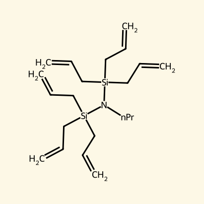 [CH2]CCN([Si](CC=C)(CC=C)CC=C)[Si](CC=C)(CC=C)CC=C